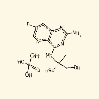 CCCC[C@](C)(CO)Nc1nc(N)nc2cc(F)cnc12.O=P(O)(O)O